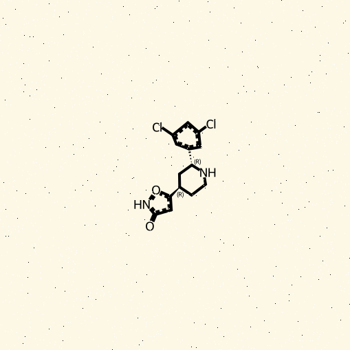 O=c1cc([C@@H]2CCN[C@@H](c3cc(Cl)cc(Cl)c3)C2)o[nH]1